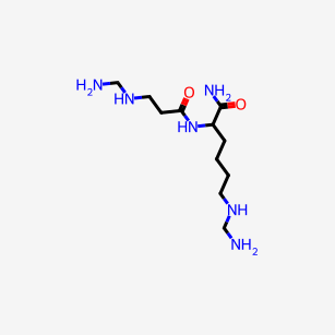 NCNCCCCC(NC(=O)CCNCN)C(N)=O